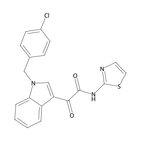 O=C(Nc1nccs1)C(=O)c1cn(Cc2ccc(Cl)cc2)c2ccccc12